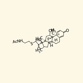 CC(=O)NCCSCC(=O)[C@@]1(O)C(C)C[C@H]2[C@@H]3CCC4=CC(=O)C=C[C@]4(C)[C@@]3(F)C(O)C[C@@]21C